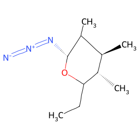 CCC1O[C@H](N=[N+]=[N-])C(C)[C@@H](C)[C@@H]1C